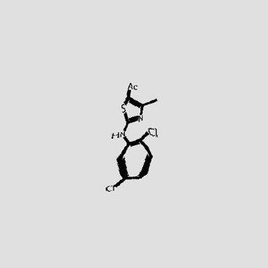 CC(=O)c1sc(Nc2cc(Cl)ccc2Cl)nc1C